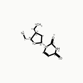 [3H]C[C@H]1O[C@@H](n2ccc(=O)[nH]c2=O)C[C@@H]1CC